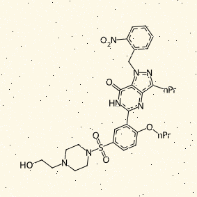 CCCOc1ccc(S(=O)(=O)N2CCN(CCO)CC2)cc1-c1nc2c(CCC)nn(Cc3ccccc3[N+](=O)[O-])c2c(=O)[nH]1